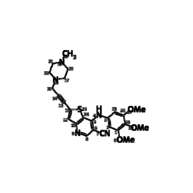 COc1cc(Nc2c(C#N)cnc3cc(C#CCN4CCN(C)CC4)sc23)cc(OC)c1OC